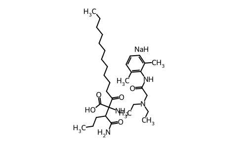 CCCCCCCCCCCC(=O)C(N)(C(=O)O)C(CCC)C(N)=O.CCN(CC)CC(=O)Nc1c(C)cccc1C.[NaH]